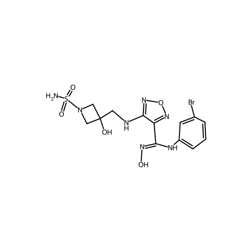 NS(=O)(=O)N1CC(O)(CNc2nonc2/C(=N/O)Nc2cccc(Br)c2)C1